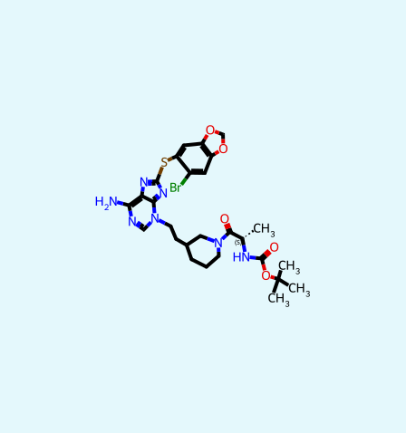 C[C@H](NC(=O)OC(C)(C)C)C(=O)N1CCCC(CCn2cnc(N)c3nc(Sc4cc5c(cc4Br)OCO5)nc2-3)C1